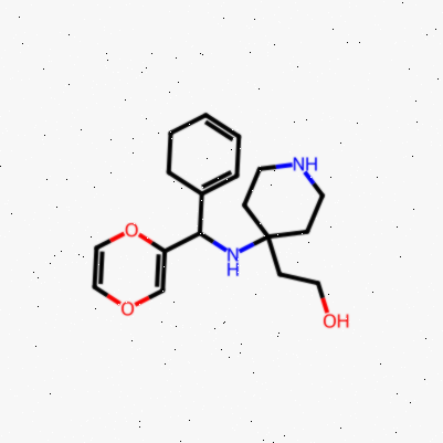 OCCC1(NC(C2=CC=CCC2)C2=COC=CO2)CCNCC1